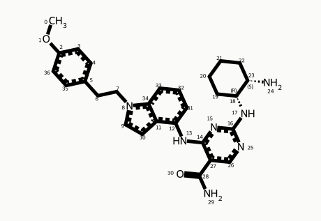 COc1ccc(CCn2ccc3c(Nc4nc(N[C@@H]5CCCC[C@@H]5N)ncc4C(N)=O)cccc32)cc1